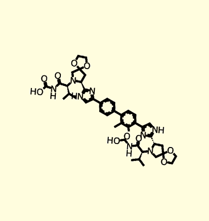 Cc1c(-c2ccc(-c3c[nH]c([C@@H]4CC5(CN4[C@H](C(=O)NC(=O)O)C(C)C)OCCO5)n3)cc2)ccc(-c2c[nH]c([C@@H]3CC4(CN3[C@H](C(=O)NC(=O)O)C(C)C)OCCO4)n2)c1C